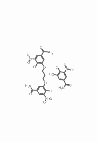 NC(=O)c1cc(O)c(Cl)c([N+](=O)[O-])c1.NC(=O)c1cc(OCCCOc2cc(C(N)=O)cc([N+](=O)[O-])c2Cl)c(Cl)c([N+](=O)[O-])c1